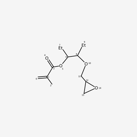 C=C(C)C(=O)OC(CC)C(CC)OCC1CO1